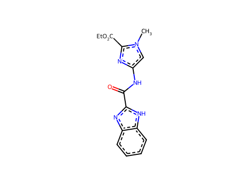 CCOC(=O)c1nc(NC(=O)c2nc3ccccc3[nH]2)cn1C